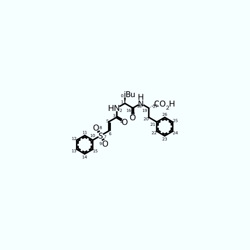 CCC(C)[C@H](NC(=O)/C=C/S(=O)(=O)c1ccccc1)C(=O)N[C@@H](Cc1ccccc1)C(=O)O